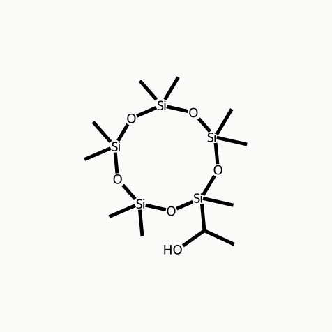 CC(O)[Si]1(C)O[Si](C)(C)O[Si](C)(C)O[Si](C)(C)O[Si](C)(C)O1